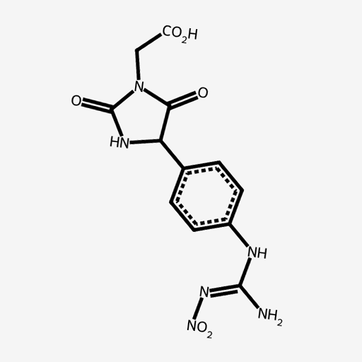 NC(=N[N+](=O)[O-])Nc1ccc(C2NC(=O)N(CC(=O)O)C2=O)cc1